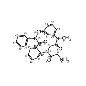 CN(C(=O)CN(C(=O)CN)c1ccccc1C(=O)N(C)c1ccccc1)c1ccccc1